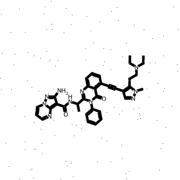 CCN(CC)CCc1c(C#Cc2cccc3nc(C(C)NC(=O)c4c(N)nn5cccnc45)n(-c4ccccc4)c(=O)c23)cnn1C